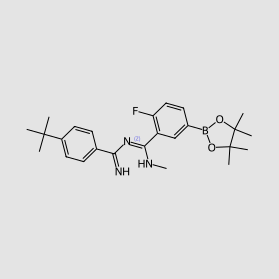 CN/C(=N\C(=N)c1ccc(C(C)(C)C)cc1)c1cc(B2OC(C)(C)C(C)(C)O2)ccc1F